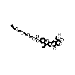 C#CCOCCOCCOCCOC(=O)Oc1ccc2nc3c(c(CC)c2c1)Cn1c-3cc2c(c1=O)COC(=O)[C@]2(O)CC